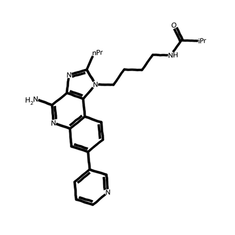 CCCc1nc2c(N)nc3cc(-c4cccnc4)ccc3c2n1CCCCNC(=O)C(C)C